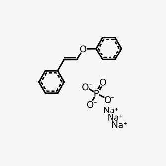 C(=Cc1ccccc1)Oc1ccccc1.O=P([O-])([O-])[O-].[Na+].[Na+].[Na+]